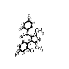 Cc1nn(C)c(C(Br)c2ccc(F)cc2F)c1-c1ccc(F)cc1Cl